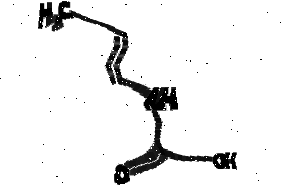 CC=CNC(=O)O